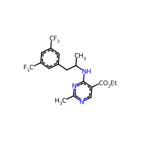 CCOC(=O)c1cnc(C)nc1NC(C)Cc1cc(C(F)(F)F)cc(C(F)(F)F)c1